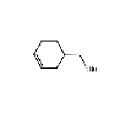 CC(C)(C)C[C]1CC=CCC1